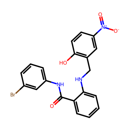 O=C(Nc1cccc(Br)c1)c1ccccc1NCc1cc([N+](=O)[O-])ccc1O